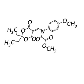 CCC1(CC)OC(=O)C(=CN(C(=O)C(=O)OC)c2ccc(OC)cc2)C(=O)O1